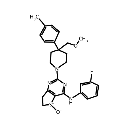 COCC1(c2ccc(C)cc2)CCN(c2nc3c(c(Nc4cccc(F)c4)n2)[S+]([O-])CC3)CC1